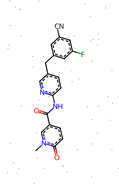 Cn1cc(C(=O)Nc2ccc(Cc3cc(F)cc(C#N)c3)cn2)ccc1=O